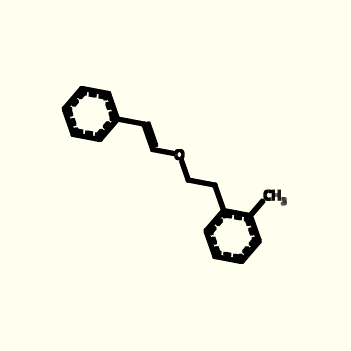 Cc1ccccc1CCOC=Cc1ccccc1